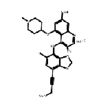 COCC#Cc1cc(Cl)c(Nc2c(C#N)cnc3cc(OC)cc(OC4CCN(C)CC4)c23)c2c1OCO2.Cl.Cl